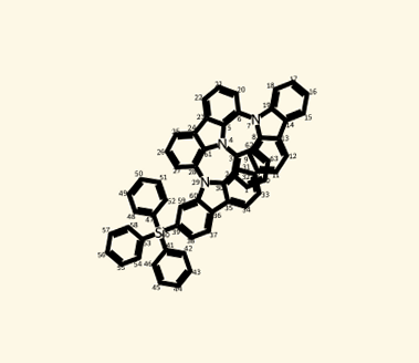 c1ccc(-n2c3c(-n4c5ccccc5c5ccccc54)cccc3c3cccc(-n4c5ccccc5c5ccc([Si](c6ccccc6)(c6ccccc6)c6ccccc6)cc54)c32)cc1